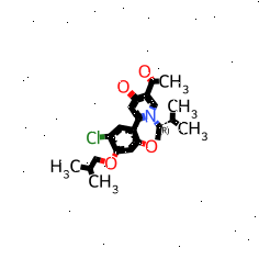 CC(=O)c1cn2c(cc1=O)-c1cc(Cl)c(OCC(C)C)cc1OC[C@H]2C(C)C